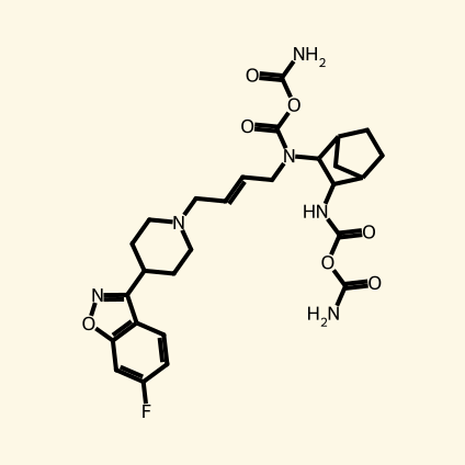 NC(=O)OC(=O)NC1C2CCC(C2)C1N(C/C=C/CN1CCC(c2noc3cc(F)ccc23)CC1)C(=O)OC(N)=O